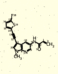 C=CC(=O)Nc1cnc2c(c1)c(C#Cc1ccc(F)s1)cn2C